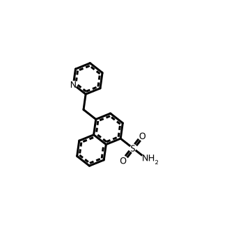 NS(=O)(=O)c1ccc(Cc2ccccn2)c2ccccc12